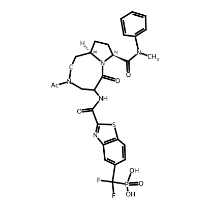 CC(=O)N1CC[C@H]2CC[C@@H](C(=O)N(C)c3ccccc3)N2C(=O)C(NC(=O)c2nc3cc(C(F)(F)P(=O)(O)O)ccc3s2)C1